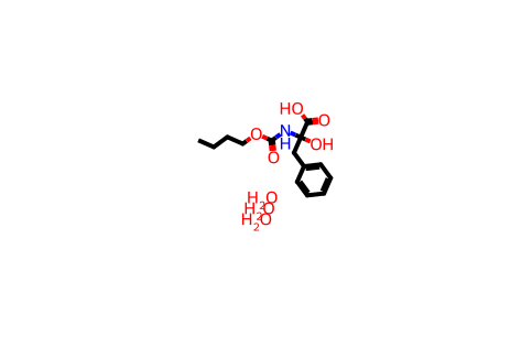 CCCCOC(=O)NC(O)(Cc1ccccc1)C(=O)O.O.O.O